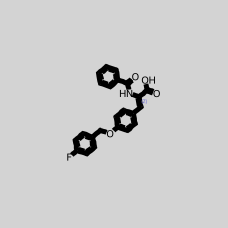 O=C(O)/C(=C/c1ccc(OCc2ccc(F)cc2)cc1)NC(=O)c1ccccc1